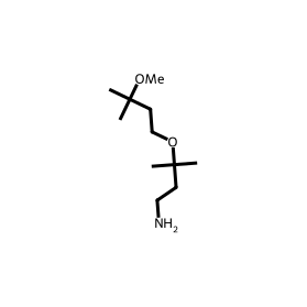 COC(C)(C)CCOC(C)(C)CCN